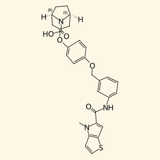 Cn1c(C(=O)Nc2cccc(COc3ccc(OC4C[C@H]5CC[C@@H](C4)N5C(=O)O)cc3)c2)cc2sccc21